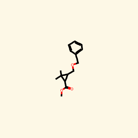 COC(=O)C1C(COCc2ccccc2)C1(C)C